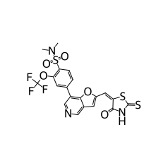 CN(C)S(=O)(=O)c1ccc(-c2cncc3cc(/C=C4/SC(=S)NC4=O)oc23)cc1OC(F)(F)F